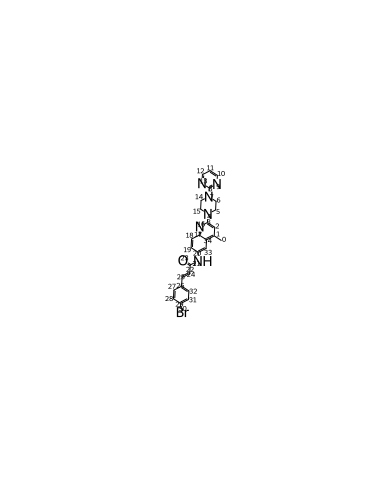 Cc1cc(N2CCN(c3ncccn3)CC2)nc2ccc(NC(=O)C=Cc3ccc(Br)cc3)cc12